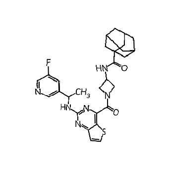 CC(Nc1nc(C(=O)N2CC(NC(=O)C34CC5CC(CC(C5)C3)C4)C2)c2sccc2n1)c1cncc(F)c1